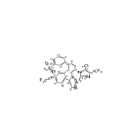 Cc1nc(C(F)(F)F)c(Cl)n1-c1ccc(-c2cccc(S(C)(=O)=O)c2)cc1-n1nncc1-c1ccc(OC(F)(F)F)cc1